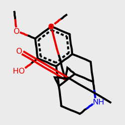 COc1ccc2c(c1O)C13CCNC(C2)C1CC(OC)C(=O)C3